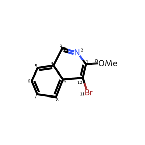 COc1n[c]c2ccccc2c1Br